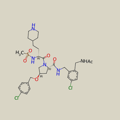 CC(=O)NCc1ccc(Cl)cc1CNC(=O)[C@@H]1C[C@@H](OCc2ccc(Cl)cc2)CN1C(=O)[C@@H](CCC1CCNCC1)NS(C)(=O)=O